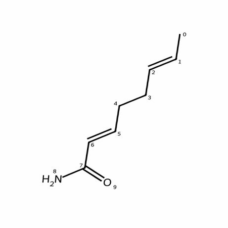 C/C=C/CC/C=C/C(N)=O